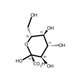 O=C(O)[C@@]1(O)O[C@H](CO)[C@@H](O)[C@H](O)[C@H]1O